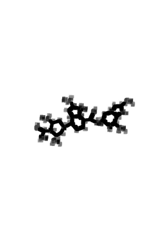 Cc1cn2cc(NC(=O)c3ccc(N4CC(C)N(C(=O)O)[C@@H](C)C4)c4cc(C)[nH]c34)nc(C)c2n1